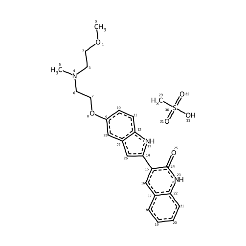 COCCN(C)CCOc1ccc2[nH]c(-c3cc4ccccc4[nH]c3=O)cc2c1.CS(=O)(=O)O